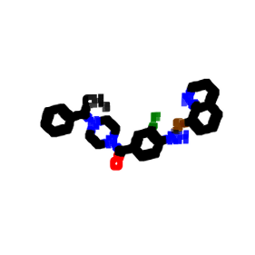 CC(c1ccccc1)N1CCN(C(=O)c2ccc(NSc3cccc4cccnc34)c(F)c2)CC1